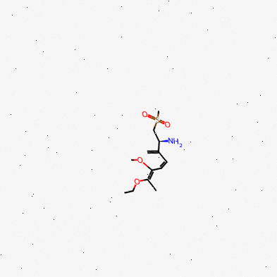 C=C(/C=C\C(OC)=C(/C)OCC)[C@H](N)CS(C)(=O)=O